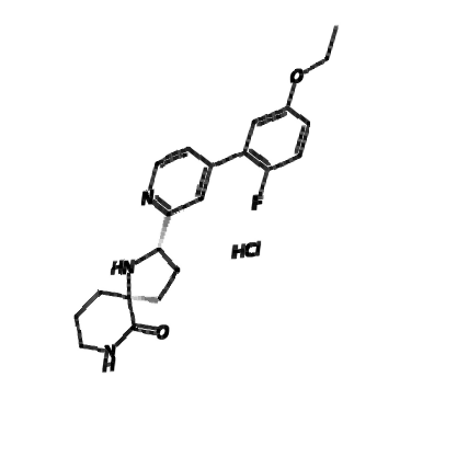 CCOc1ccc(F)c(-c2ccnc([C@@H]3CC[C@]4(CCCNC4=O)N3)c2)c1.Cl